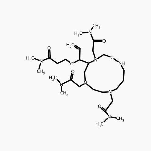 C=CC(OCCC(=O)N(C)C)C1CN(CC(=O)N(C)C)CCN(CC(=O)N(C)C)CCCNCCN1CC(=O)N(C)C